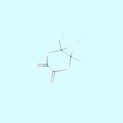 CB1C2(C)OC(=O)C(=O)OC12C